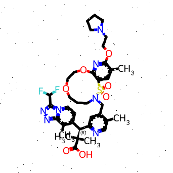 Cc1cnc([C@H](c2ccn3c(C(F)F)nnc3c2C)C(C)(C)C(=O)O)cc1CN1CCCOCCOc2nc(OCCN3CCCC3)c(C)cc2S1(=O)=O